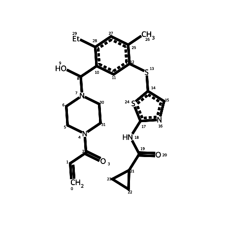 C=CC(=O)N1CCN(C(O)c2cc(Sc3cnc(NC(=O)C4CC4)s3)c(C)cc2CC)CC1